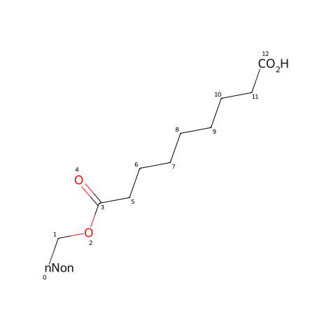 CCCCCCCCCCOC(=O)CCCCCCCC(=O)O